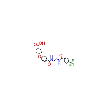 Cc1cc(O[C@H]2CC[C@@H](C(=O)O)CC2)ccc1C(=O)NCCNC(=O)c1ccc(C(F)(F)F)cc1